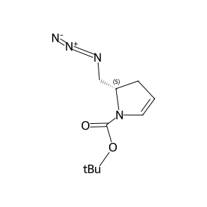 CC(C)(C)OC(=O)N1C=CC[C@H]1CN=[N+]=[N-]